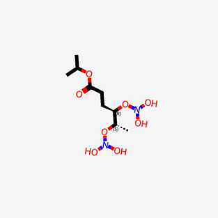 CC(C)OC(=O)CC[C@@H](ON(O)O)[C@H](C)ON(O)O